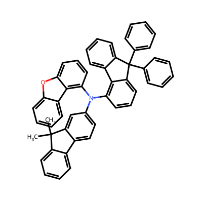 CC1(C)c2ccccc2-c2ccc(N(c3cccc4c3-c3ccccc3C4(c3ccccc3)c3ccccc3)c3cccc4oc5ccccc5c34)cc21